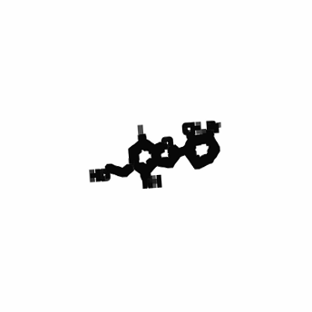 Cc1c(Br)cccc1-c1cc2c(=N)n(CCO)cc(I)c2o1